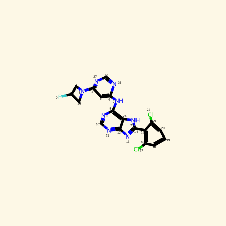 FC1CN(c2cc(Nc3ncnc4nc(-c5c(Cl)cccc5Cl)[nH]c34)ncn2)C1